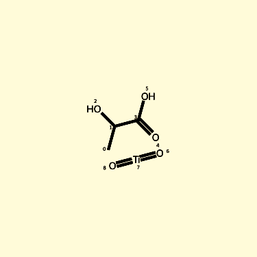 CC(O)C(=O)O.[O]=[Ti]=[O]